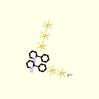 F[P-](F)(F)(F)(F)F.F[P-](F)(F)(F)(F)F.F[P-](F)(F)(F)(F)F.F[P-](F)(F)(F)(F)F.F[P-](F)(F)(F)(F)F.[Ir+3].c1ccc(-c2cccc[nH+]2)cc1.c1ccc(-c2cccc[nH+]2)cc1